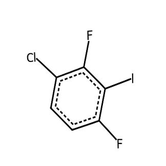 Fc1ccc(Cl)c(F)c1I